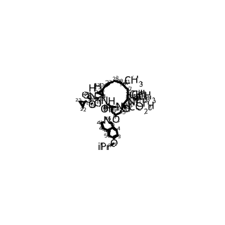 CC(C)Oc1ccc2c(O[C@@H]3C[C@H]4C(=O)N[C@]5(C(=O)NS(=O)(=O)C6CC6)C[C@H]5/C=C\CC[C@@H](C)C[C@@H](C)[C@H](N(C(=O)O)C(C)(C)C(F)(F)F)C(=O)N4C3)nccc2c1